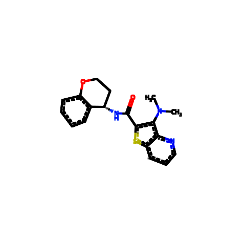 CN(C)c1c(C(=O)N[C@H]2CCOc3ccccc32)sc2[c]ccnc12